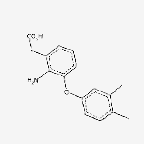 Cc1ccc(Oc2cccc(CC(=O)O)c2N)cc1C